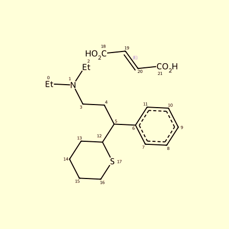 CCN(CC)CCC(c1ccccc1)C1CCCCS1.O=C(O)/C=C/C(=O)O